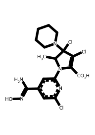 CC1N(c2cc(C(N)=NO)cc(Cl)n2)C(C(=O)O)=C(Cl)C1(Cl)N1CCCCC1